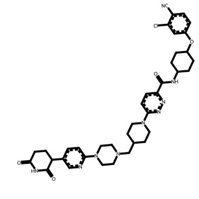 N#Cc1ccc(OC2CCC(NC(=O)c3ccc(N4CCC(CN5CCN(c6ccc(C7CCC(=O)NC7=O)cn6)CC5)CC4)nn3)CC2)cc1Cl